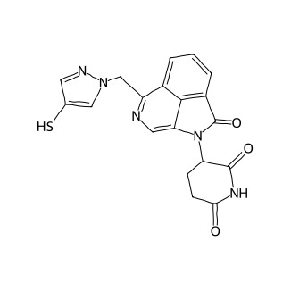 O=C1CCC(N2C(=O)c3cccc4c(Cn5cc(S)cn5)ncc2c34)C(=O)N1